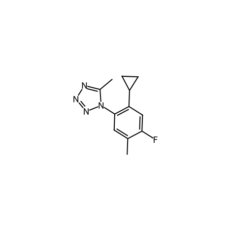 Cc1cc(-n2nnnc2C)c(C2CC2)cc1F